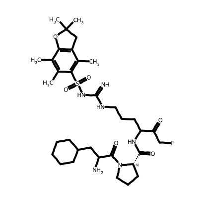 Cc1c(C)c(S(=O)(=O)NC(=N)NCCCC(NC(=O)[C@@H]2CCCN2C(=O)C(N)CC2CCCCC2)C(=O)CF)c(C)c2c1OC(C)(C)C2